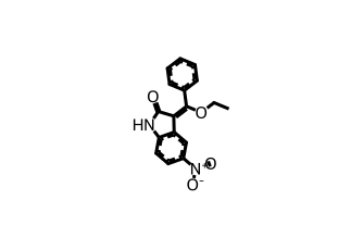 CCO/C(=C1/C(=O)Nc2ccc([N+](=O)[O-])cc21)c1ccccc1